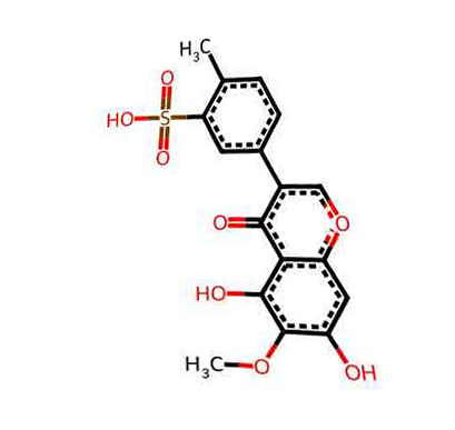 COc1c(O)cc2occ(-c3ccc(C)c(S(=O)(=O)O)c3)c(=O)c2c1O